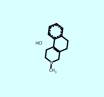 CN1CCC2=C(CCc3ccccc32)C1.Cl